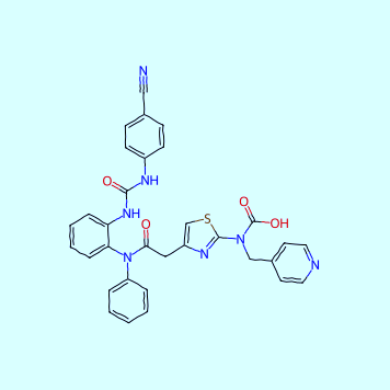 N#Cc1ccc(NC(=O)Nc2ccccc2N(C(=O)Cc2csc(N(Cc3ccncc3)C(=O)O)n2)c2ccccc2)cc1